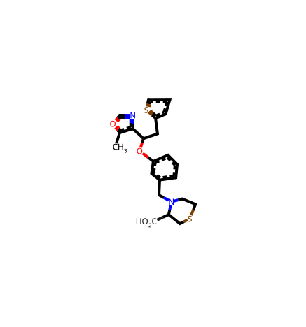 Cc1ocnc1C(Cc1cccs1)Oc1cccc(CN2CCSCC2C(=O)O)c1